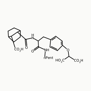 CCCCCNC(=O)C(Cc1ccc(OC(C(=O)O)C(=O)O)cc1)NC(=O)C1C2CCC(CC2)C1C(=O)O